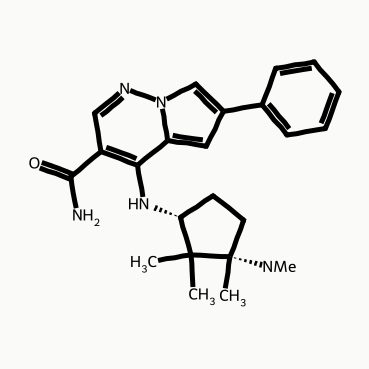 CN[C@@]1(C)CC[C@@H](Nc2c(C(N)=O)cnn3cc(-c4ccccc4)cc23)C1(C)C